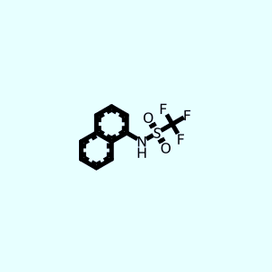 O=S(=O)(Nc1cccc2ccccc12)C(F)(F)F